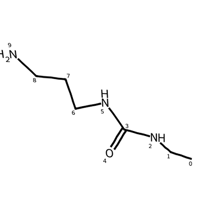 CCNC(=O)NCCCN